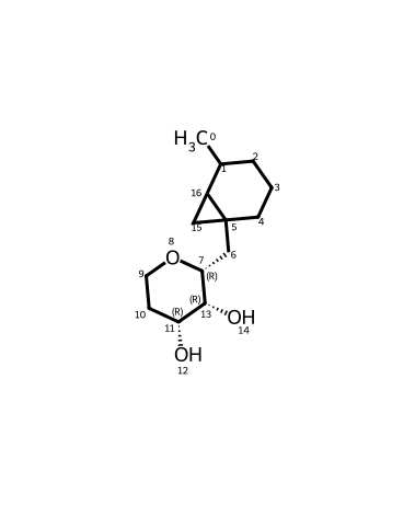 CC1CCCC2(C[C@H]3OCC[C@@H](O)[C@H]3O)CC12